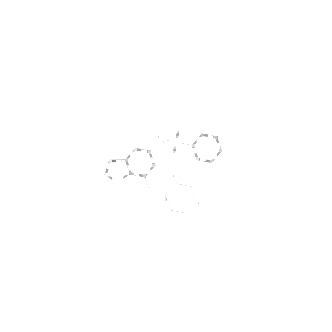 Cc1cccc(S(=O)(=O)Nc2cc(O[C@H]3CCNC[C@@H]3F)c3occc3c2)c1.Cl